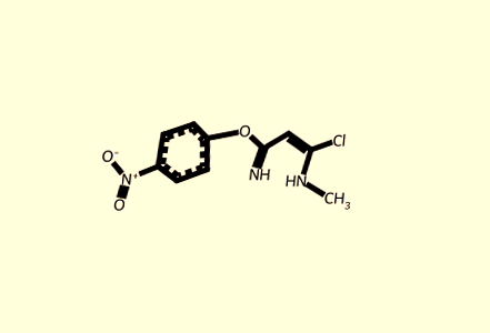 CN/C(Cl)=C\C(=N)Oc1ccc([N+](=O)[O-])cc1